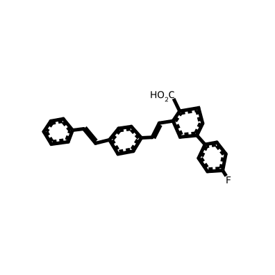 O=C(O)c1ccc(-c2ccc(F)cc2)cc1C=Cc1ccc(C=Cc2ccccc2)cc1